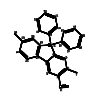 COc1cc2c(cc1C)[Si](c1ccccc1)(c1ccccc1)c1cc(C)ccc1-2